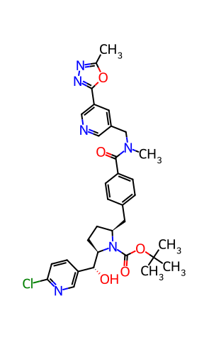 Cc1nnc(-c2cncc(CN(C)C(=O)c3ccc(C[C@@H]4CC[C@H]([C@H](O)c5ccc(Cl)nc5)N4C(=O)OC(C)(C)C)cc3)c2)o1